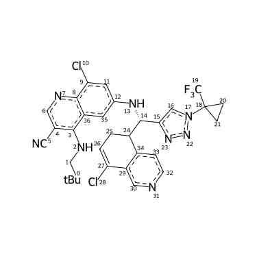 CC(C)(C)CNc1c(C#N)cnc2c(Cl)cc(N[C@H](c3cn(C4(C(F)(F)F)CC4)nn3)C3CC=C(Cl)c4cnccc43)cc12